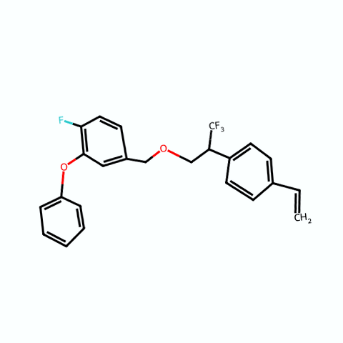 C=Cc1ccc(C(COCc2ccc(F)c(Oc3ccccc3)c2)C(F)(F)F)cc1